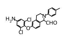 Cc1ccc(N2CCc3cc(Oc4c(Cl)cc(N)cc4Cl)ccc3C2C=O)cc1